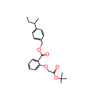 CCC(C)c1ccc(COC(=O)c2ccccc2OCC(=O)OC(C)(C)C)cc1